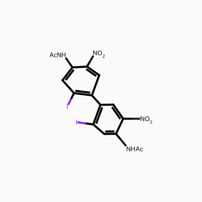 CC(=O)Nc1cc(I)c(-c2cc([N+](=O)[O-])c(NC(C)=O)cc2I)cc1[N+](=O)[O-]